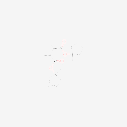 CC(C(=O)OC1(C)CCCC1)C(C)C(=O)OC1(C)CCCC1